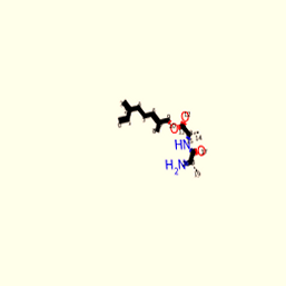 C=CC(=C)CC/C=C(\C)COC(=O)[C@H](C)NC(=O)[C@H](C)N